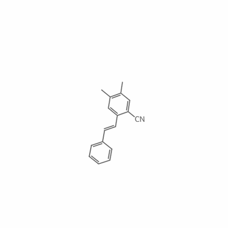 Cc1cc(C#N)c(/C=C/c2ccccc2)cc1C